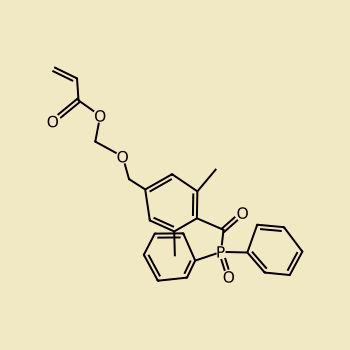 C=CC(=O)OCOCc1cc(C)c(C(=O)P(=O)(c2ccccc2)c2ccccc2)c(C)c1